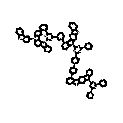 c1ccc(-c2nc(-c3ccccc3)nc(-n3c4ccccc4c4cc5c(cc43)oc3cccc(-c4ccc(-c6ccc(-c7nc(-c8ccccc8)nc(-n8c9cc%10oc%11ccccc%11c%10cc9c9c(-c%10cccc(-c%11nc(-c%12ccccc%12)nc(-n%12c%13ccccc%13c%13ccc%14c(c%15ccccc%15n%14-c%14ccc%15oc%16ccccc%16c%15c%14)c%13%12)n%11)c%10)cccc98)n7)cc6)cc4)c35)n2)cc1